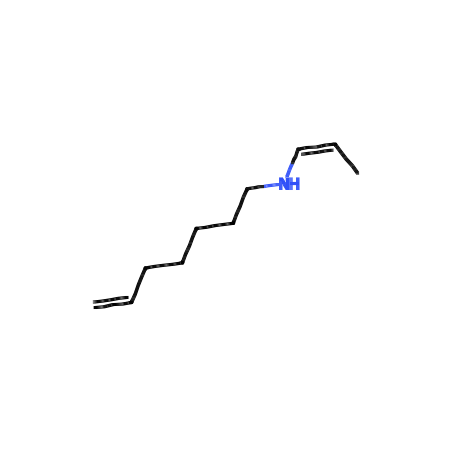 C=CCCCCCN/C=C\C